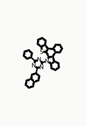 c1ccc(-c2nc(-c3ccc4ccccc4c3)nc(-n3c4ccccc4c4c5ccccc5c5c6ccccc6sc5c43)n2)cc1